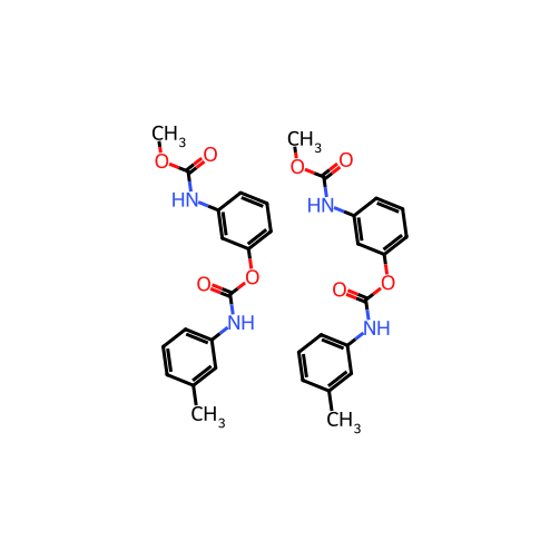 COC(=O)Nc1cccc(OC(=O)Nc2cccc(C)c2)c1.COC(=O)Nc1cccc(OC(=O)Nc2cccc(C)c2)c1